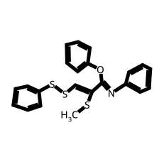 CSC(=C\SSc1ccccc1)/C(=N/c1ccccc1)Oc1ccccc1